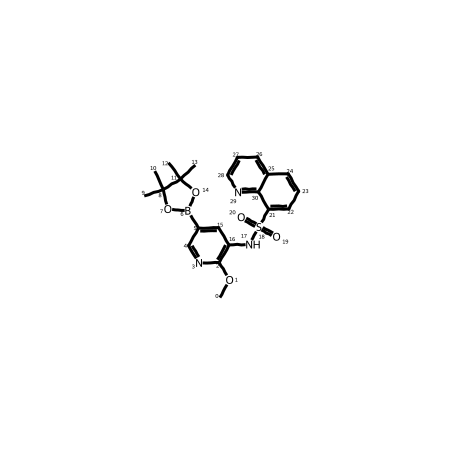 COc1ncc(B2OC(C)(C)C(C)(C)O2)cc1NS(=O)(=O)c1cccc2cccnc12